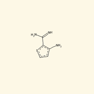 N=C(N)c1sccc1N